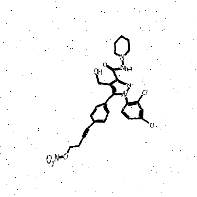 O=C(NN1CCCCC1)c1nn(-c2ccc(Cl)cc2Cl)c(-c2ccc(C#CCCO[N+](=O)[O-])cc2)c1CO